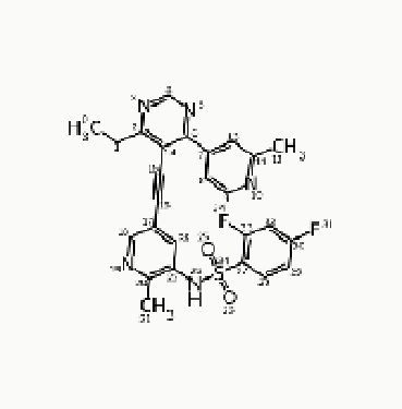 CCc1ncnc(-c2ccnc(C)c2)c1C#Cc1cnc(C)c(NS(=O)(=O)c2ccc(F)cc2F)c1